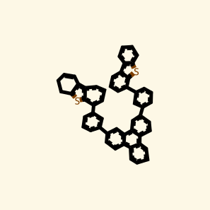 C1=Cc2c(sc3c(-c4cccc(-c5ccc6c7ccccc7c7ccc(-c8cccc(-c9cccc%10c9sc9ccccc9%10)c8)cc7c6c5)c4)cccc23)CC1